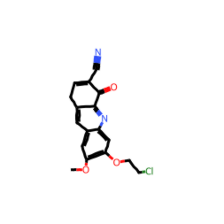 COc1cc2cc3c(nc2cc1OCCCl)C(=O)C(C#N)=CC3